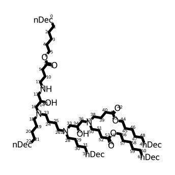 CCCCCCCCCCCCCCCOC(=O)CCCNCC(O)CN(CCCCCCCCCCCCCC)CCCCN(CCCCCCCCCCCCCC)CC(O)CN(CCCC(=O)OCCCCCCCCCCCCCCC)CCCC(=O)OCCCCCCCCCCCCCCC